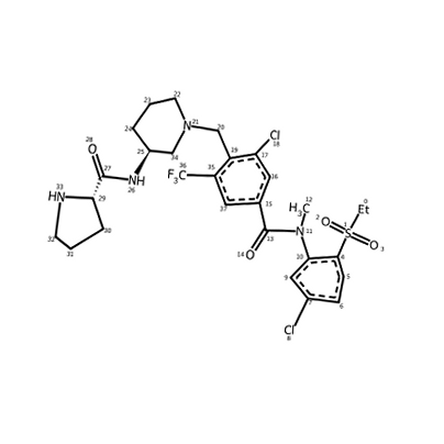 CCS(=O)(=O)c1ccc(Cl)cc1N(C)C(=O)c1cc(Cl)c(CN2CCC[C@H](NC(=O)[C@@H]3CCCN3)C2)c(C(F)(F)F)c1